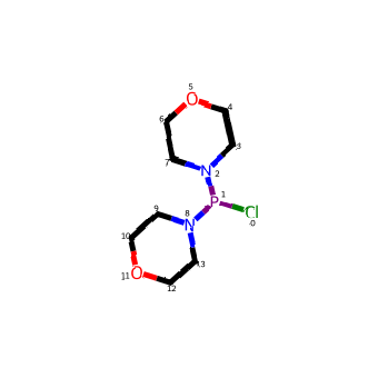 ClP(N1CCOCC1)N1CCOCC1